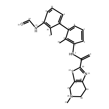 C=C(Nc1cccc(-c2cccc(NC=O)c2C)c1C)c1nc2c(s1)CN(C)CC2